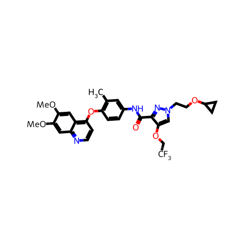 COc1cc2nccc(Oc3ccc(NC(=O)c4nn(CCOC5CC5)cc4OCC(F)(F)F)cc3C)c2cc1OC